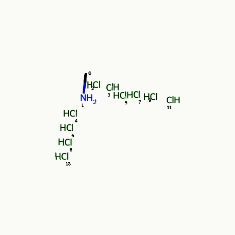 CN.Cl.Cl.Cl.Cl.Cl.Cl.Cl.Cl.Cl.Cl